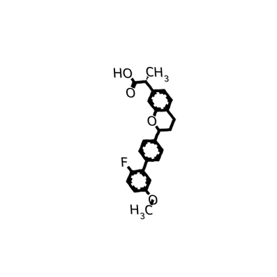 COc1ccc(F)c(-c2ccc(C3CCc4ccc([C@@H](C)C(=O)O)cc4O3)cc2)c1